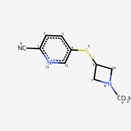 N#Cc1ccc(SC2CN(C(=O)O)C2)cn1